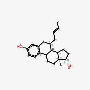 CC=CC[C@@H]1Cc2cc(O)ccc2C2CC[C@@]3(C)C(CC[C@@H]3O)C21